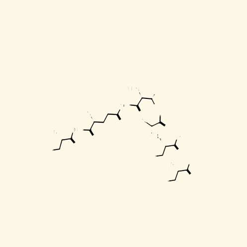 C[C@@H](O)[C@H](N)C(=O)O.C[C@H](N)C(=O)O.N[C@@H](CCC(=O)O)C(=O)O.N[C@@H](CO)C(=O)O.N[C@@H](CO)C(=O)O.N[C@@H](CO)C(=O)O